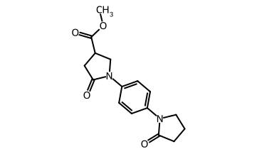 COC(=O)C1CC(=O)N(c2ccc(N3CCCC3=O)cc2)C1